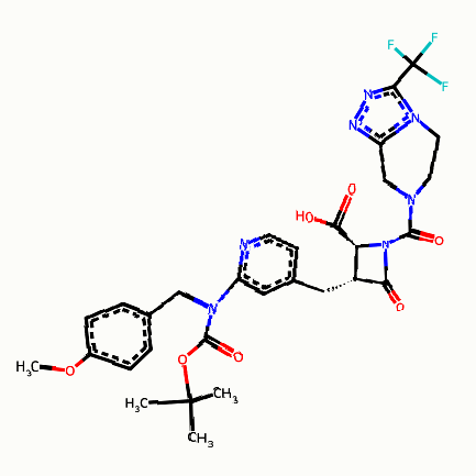 COc1ccc(CN(C(=O)OC(C)(C)C)c2cc(C[C@H]3C(=O)N(C(=O)N4CCn5c(nnc5C(F)(F)F)C4)[C@@H]3C(=O)O)ccn2)cc1